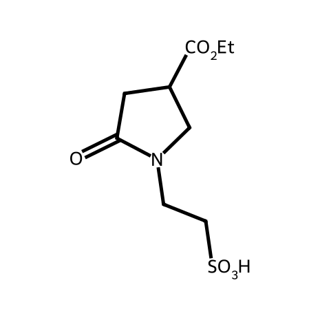 CCOC(=O)C1CC(=O)N(CCS(=O)(=O)O)C1